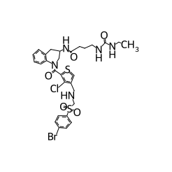 CCNC(=O)NCCCC(=O)NC1Cc2ccccc2N(C(=O)c2scc(CNCS(=O)(=O)c3ccc(Br)cc3)c2Cl)C1